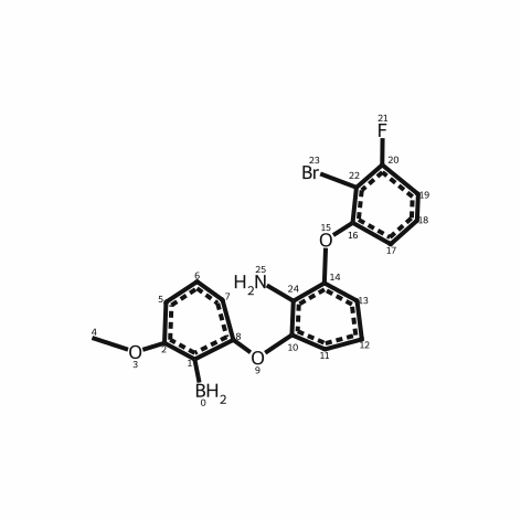 Bc1c(OC)cccc1Oc1cccc(Oc2cccc(F)c2Br)c1N